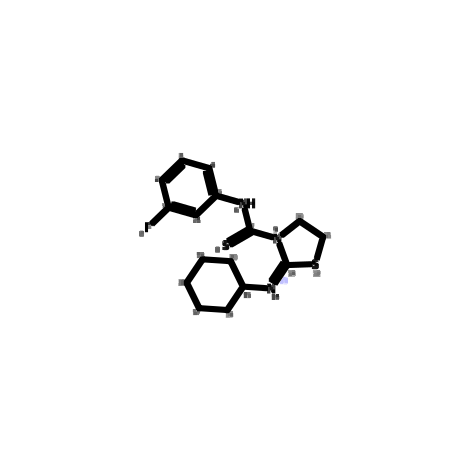 Fc1cccc(NC(=S)N2CCS/C2=N/C2CCCCC2)c1